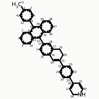 Cc1ccc(-c2c3ccccc3c(-c3ccc4c(c3)CCC(c3ccc(C5=CCNC=C5)cc3)=C4)c3ccccc23)cc1